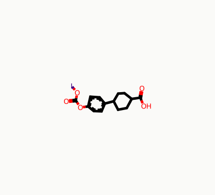 O=C(OI)Oc1ccc(C2CCC(C(=O)O)CC2)cc1